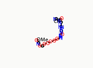 COC(=O)c1ccc(Oc2cccc(OCCOCCOCCOCCOCc3cn(CC(=O)N4CCN(c5ncc(-c6ccc7c(n6)N(Cc6cccnc6C#N)C(C)(C)C7=O)cn5)C[C@H]4C)nn3)c2)nc1